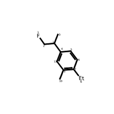 [CH2]C(CF)c1ccc(CC)c(C)c1